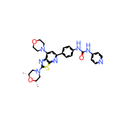 C[C@@H]1CN(c2nc3c(N4CCOCC4)cc(-c4ccc(NC(=O)Nc5ccncc5)cc4)nc3s2)C[C@H](C)O1